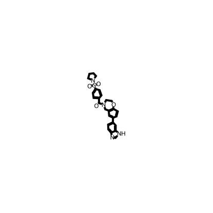 O=C(c1ccc(S(=O)(=O)N2CCCC2)cc1)N1CCOc2ccc(-c3ccc4nc[nH]c4c3)cc2C1